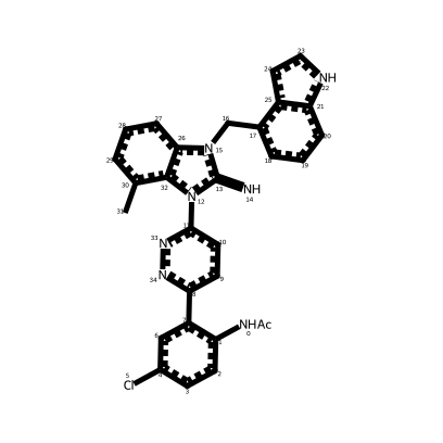 CC(=O)Nc1ccc(Cl)cc1-c1ccc(-n2c(=N)n(Cc3cccc4[nH]ccc34)c3cccc(C)c32)nn1